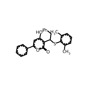 Cc1cccc(C)c1SC(CC(C)C)c1c(O)cc(-c2ccccc2)oc1=O